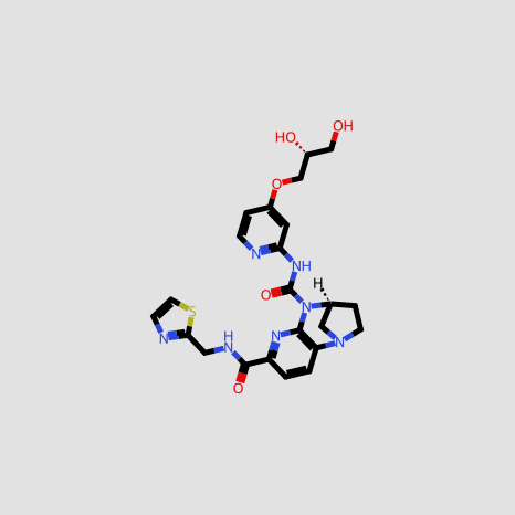 O=C(NCc1nccs1)c1ccc2c(n1)N(C(=O)Nc1cc(OC[C@H](O)CO)ccn1)[C@H]1CCN2C1